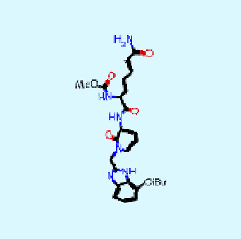 COC(=O)NC(CCC=CC(N)=O)C(=O)Nc1cccn(Cc2nc3cccc(OCC(C)C)c3[nH]2)c1=O